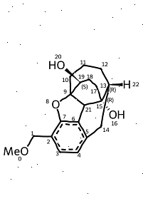 COCc1ccc2c3c1OC14CCC[C@H](C2)[C@](O)(CC[C@@H]1O)C34